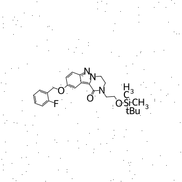 CC(C)(C)[Si](C)(C)OCCN1CCn2nc3ccc(OCc4ccccc4F)cc3c2C1=O